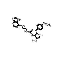 COc1ccc(C[C@H]2NC[C@H](O)[C@H]2OC(=O)NCCNc2ncnc3nc[nH]c23)cc1